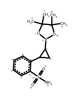 CC1(C)OB(C2CC2c2ccccc2S(N)(=O)=O)OC1(C)C